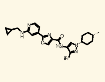 CC(C)c1nn([C@H]2CC[C@@H](C)CC2)cc1NC(=O)c1coc(-c2ccnc(NCC3CC3)c2)n1